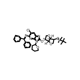 CC(C)(C)[Si](C)(C)OC1CO[C@H]2[C@@H]1OC[C@H]2Oc1nc2cc(Cl)c(N=C(c3ccccc3)c3ccccc3)nc2n1C1CCCCO1